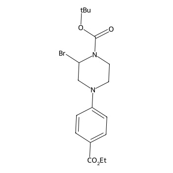 CCOC(=O)c1ccc(N2CCN(C(=O)OC(C)(C)C)C(Br)C2)cc1